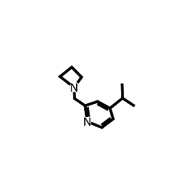 CC(C)c1ccnc(CN2CCC2)c1